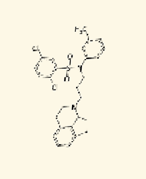 Cc1cccc(N(CCCN2CCc3cccc4c3C2CC4)S(=O)(=O)c2cc(Cl)ccc2Cl)c1